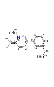 C=C(/C=C\C(=C(C)C)N(C)CCCC)c1cccc(CC(C)(C)C)c1